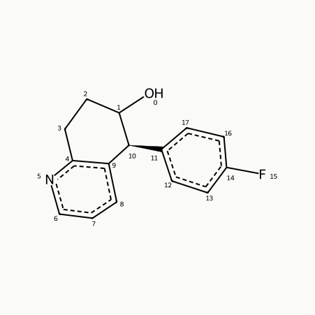 OC1CCc2ncccc2[C@@H]1c1ccc(F)cc1